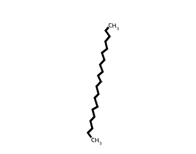 CCCCCCCCCC[CH]CCCCCCCCCC